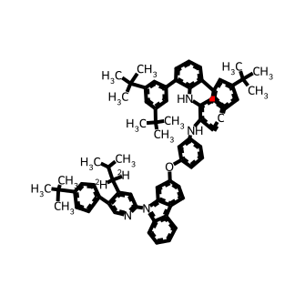 [2H]C([2H])(c1cc(-n2c3ccccc3c3ccc(Oc4cccc(Nc5ccccc5Nc5c(-c6cccc(C(C)(C)C)c6)cccc5-c5cc(C(C)(C)C)cc(C(C)(C)C)c5)c4)cc32)ncc1-c1ccc(C(C)(C)C)cc1)C(C)C